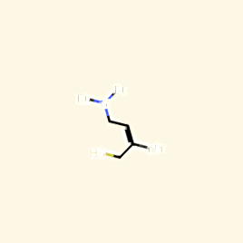 CCCC(=CCN(CC)CC)CS